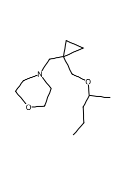 CCCC(C)OCC1(CN2CCOCC2)CC1